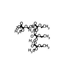 CCOC(OC)C(=O)[O-].CCOC(OC)C(=O)[O-].CCOC(OC)C(=O)[O-].CCOC(OC)C(=O)[O-].[Zr+4]